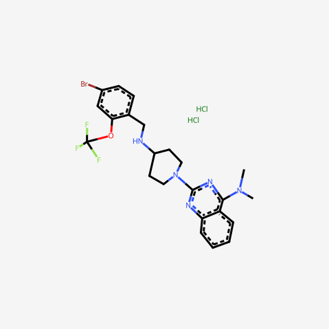 CN(C)c1nc(N2CCC(NCc3ccc(Br)cc3OC(F)(F)F)CC2)nc2ccccc12.Cl.Cl